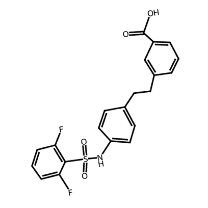 O=C(O)c1cccc(CCc2ccc(NS(=O)(=O)c3c(F)cccc3F)cc2)c1